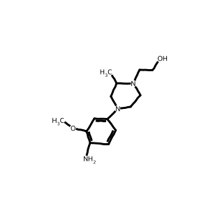 COc1cc(N2CCN(CCO)C(C)C2)ccc1N